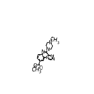 COC(=O)c1ccc2nc(N3CCN(C)CC3)c3nncn3c2c1